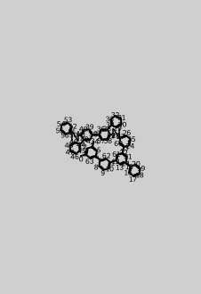 Cc1cc(C)cc(-c2cccc(-c3cc(-c4ccccc4)cc(-c4cccc(-n5c6ccccc6c6cc(-c7ccc8c(c7)c7ccccc7n8-c7ccccc7)ccc65)c4)c3)c2)c1